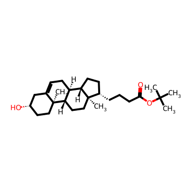 CC(C)(C)OC(=O)CCC[C@H]1CC[C@H]2[C@@H]3CC=C4C[C@@H](O)CC[C@]4(C)[C@H]3CC[C@]12C